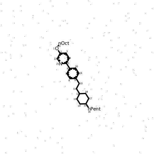 CCCCCCCCOc1ccc(-c2ccc(CCC3CCC(CCCCC)CC3)cc2)nc1